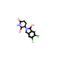 O=C1CCC(N2Cc3cc(F)c(Br)cc3C2=O)C(=O)N1